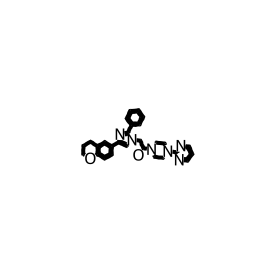 O=C(Cn1cc(-c2ccc3c(c2)CCCO3)nc1-c1ccccc1)N1CCN(c2ncccn2)CC1